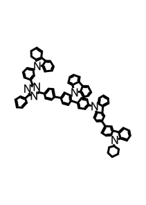 C1=Cc2c(n(-c3cccc(-c4nc(-c5ccccc5)nc(-c5ccc(-c6ccc(-c7ccc(-n8c9ccccc9c9cc(-c%10ccc%11c(c%10)c%10ccccc%10n%11C%10CCCCC%10)ccc98)cc7)c(-n7c8ccccc8c8ccccc87)c6)cc5)n4)c3)c3ccccc23)CC1